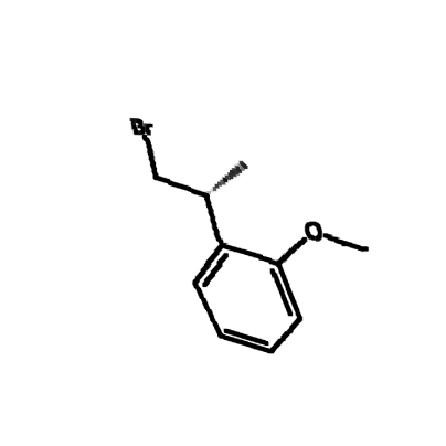 COc1ccccc1[C@@H](C)CBr